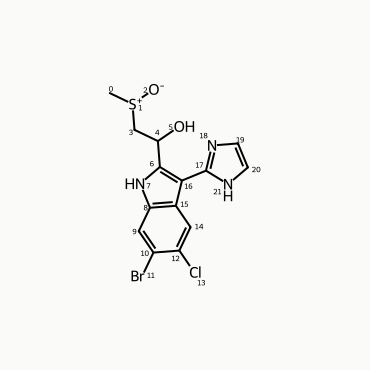 C[S+]([O-])CC(O)c1[nH]c2cc(Br)c(Cl)cc2c1-c1ncc[nH]1